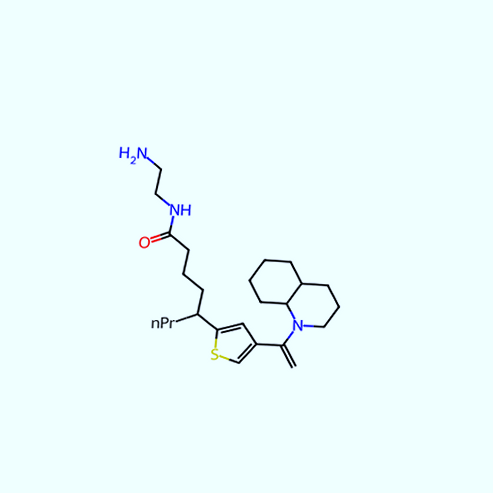 C=C(c1csc(C(CCC)CCCC(=O)NCCN)c1)N1CCCC2CCCCC21